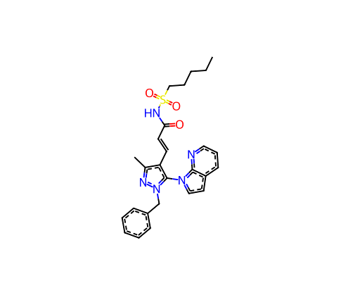 CCCCCS(=O)(=O)NC(=O)C=Cc1c(C)nn(Cc2ccccc2)c1-n1ccc2cccnc21